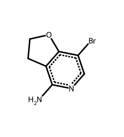 Nc1ncc(Br)c2c1CCO2